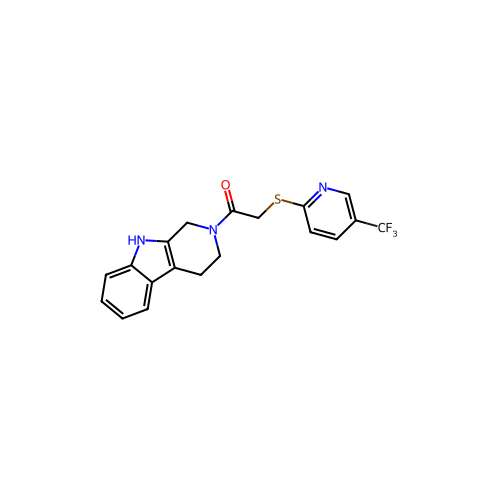 O=C(CSc1ccc(C(F)(F)F)cn1)N1CCc2c([nH]c3ccccc23)C1